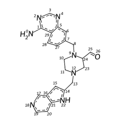 Nc1ncnc2cc(CN3CCN(Cc4cc5cnccc5[nH]4)CC3C=O)ccc12